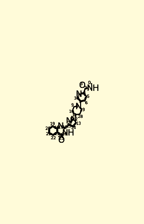 CNC(=O)c1ccc(N2CCC(n3ccc(-c4nc5ccccc5c(=O)[nH]4)n3)CC2)cn1